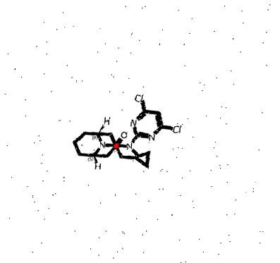 CN(c1nc(Cl)cc(Cl)n1)C1C[C@H]2CCC[C@@H](C1)N2C(=O)CC1CC1